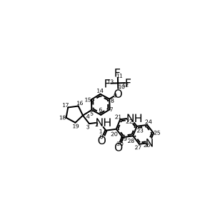 O=C(NCC1(c2ccc(OC(F)(F)F)cc2)CCCC1)c1c[nH]c2ccncc2c1=O